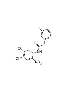 Cc1cccc(CC(=O)Nc2cc(Cl)c(Cl)cc2[N+](=O)[O-])c1